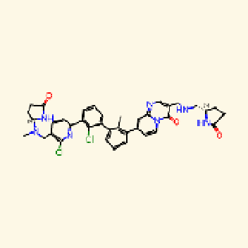 Cc1c(-c2ccn3c(=O)c(CNC[C@@H]4CCC(=O)N4)cnc3c2)cccc1-c1cccc(-c2ccc(CN(C)[C@H]3CCC(=O)N3)c(Cl)n2)c1Cl